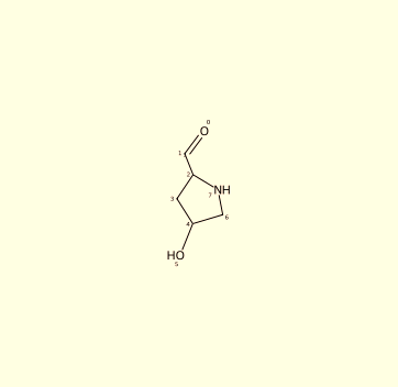 O=[C]C1CC(O)CN1